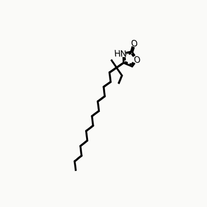 CCCCCCCCCCCCCCC(C)(CC)c1coc(=O)[nH]1